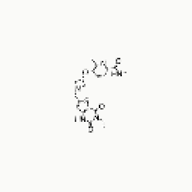 CCn1c(=O)[nH]c2cc(CN3CC(Oc4ccc(C(=O)NC)nc4C)C3)sc2c1=O